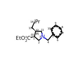 CCOC(=O)[C@@H]1CN(Cc2ccccc2)C[C@@H]1CC(C)C